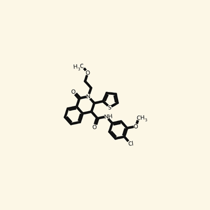 COCCN1C(=O)c2ccccc2C(C(=O)Nc2ccc(Cl)c(OC)c2)C1c1cccs1